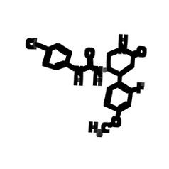 COc1ccc(C2CC(=O)NC[C@H]2NC(=O)Nc2ccc(Cl)cc2)c(F)c1